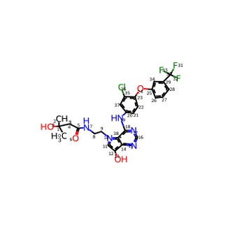 CC(C)(O)CC(=O)NCCn1cc(O)c2ncnc(Nc3ccc(Oc4cccc(C(F)(F)F)c4)c(Cl)c3)c21